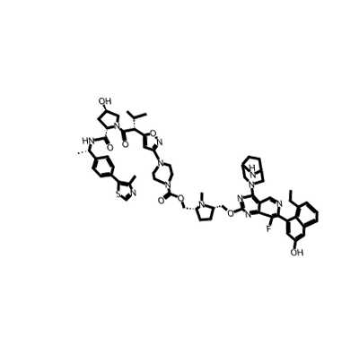 CCc1cccc2cc(O)cc(-c3ncc4c(N5CC6CCC(C5)N6)nc(OC[C@@H]5CC[C@H](COC(=O)N6CCN(c7cc([C@H](C(=O)N8C[C@H](O)C[C@H]8C(=O)N[C@@H](C)c8ccc(-c9scnc9C)cc8)C(C)C)on7)CC6)N5C)nc4c3F)c12